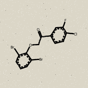 O=C(COc1c(Br)cccc1Br)c1ccc(Cl)c(F)c1